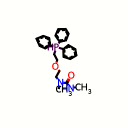 CNC(=O)N(C)CCOCC[PH](c1ccccc1)(c1ccccc1)c1ccccc1